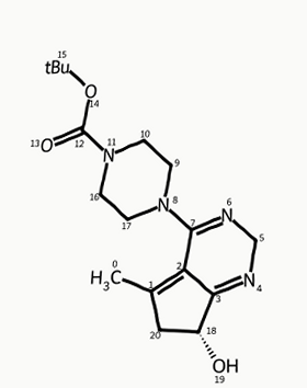 CC1=C2C(=NCN=C2N2CCN(C(=O)OC(C)(C)C)CC2)[C@H](O)C1